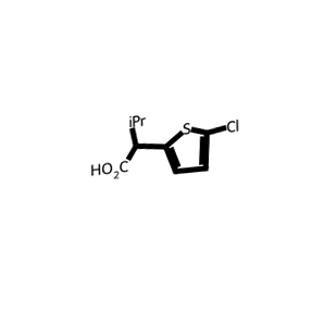 CC(C)C(C(=O)O)c1ccc(Cl)s1